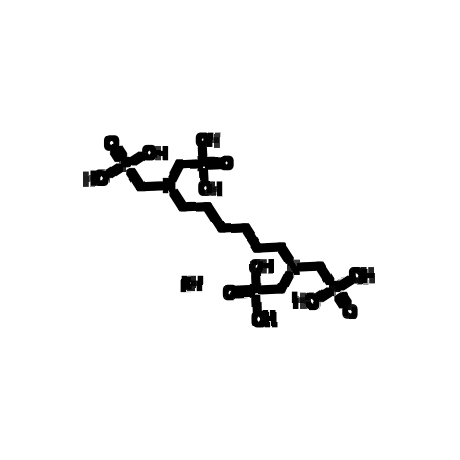 O=P(O)(O)CN(CCCCCCN(CP(=O)(O)O)CP(=O)(O)O)CP(=O)(O)O.[KH]